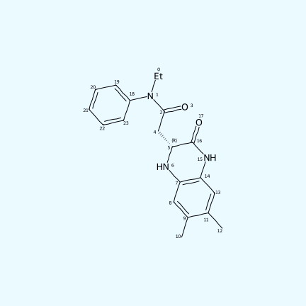 CCN(C(=O)C[C@H]1Nc2cc(C)c(C)cc2NC1=O)c1ccccc1